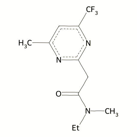 CCN(C)C(=O)Cc1nc(C)cc(C(F)(F)F)n1